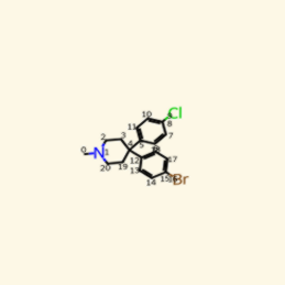 CN1CCC(c2ccc(Cl)cc2)(c2ccc(Br)cc2)CC1